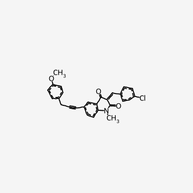 COc1ccc(CC#Cc2ccc3c(c2)C(=O)/C(=C/c2ccc(Cl)cc2)C(=O)N3C)cc1